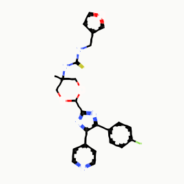 CC1(NC(=S)NCc2ccoc2)COC(c2nc(-c3ccc(F)cc3)c(-c3ccncc3)[nH]2)OC1